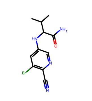 CC(C)C(Nc1cnc(C#N)c(Br)c1)C(N)=O